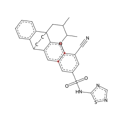 CC(CC12CCC(c3ccccc31)c1ccccc12)C(C)Oc1ccc(S(=O)(=O)Nc2ncns2)cc1C#N